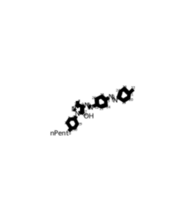 CCCCCC1CCC(n2nc(C)c(/N=N/c3ccc(/N=N/c4ccc(C)cc4)cc3)c2O)CC1